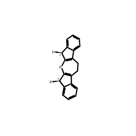 CC[C@@H]1[C]2=C(CCC3=[C]([Zr]2)[C@H](CC)c2ccccc23)c2ccccc21